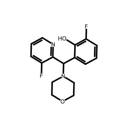 Oc1c(F)cccc1C(c1ncccc1F)N1CCOCC1